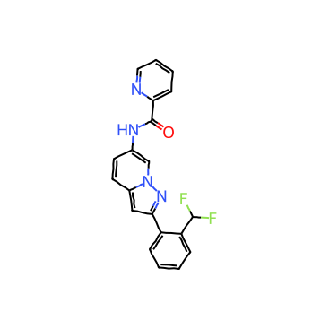 O=C(Nc1ccc2cc(-c3ccccc3C(F)F)nn2c1)c1ccccn1